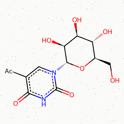 CC(=O)c1cn([C@H]2O[C@H](CO)[C@@H](O)[C@H](O)[C@@H]2O)c(=O)[nH]c1=O